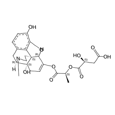 C[C@H](OC(=O)[C@@H](O)CC(=O)O)C(=O)OC1=CC[C@@]2(O)[C@H]3Cc4ccc(O)c5c4[C@@]2(CCN3C)[C@H]1O5